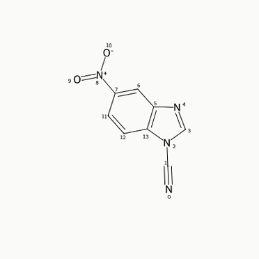 N#Cn1cnc2cc([N+](=O)[O-])ccc21